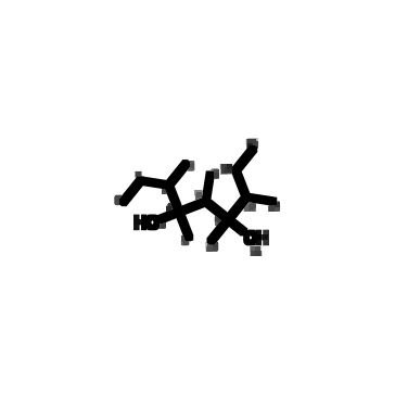 CCC(C)C(C)(O)C(C)C(C)(O)C(C)CC